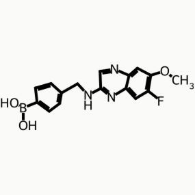 COc1cc2ncc(NCc3ccc(B(O)O)cc3)nc2cc1F